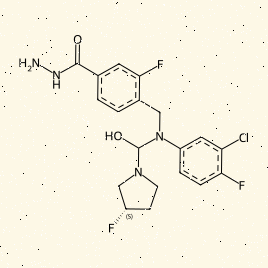 NNC(=O)c1ccc(CN(c2ccc(F)c(Cl)c2)C(O)N2CC[C@H](F)C2)c(F)c1